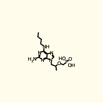 CCCCNc1nc(N)nc2c1ncn2CC(C)OCP(=O)(O)O